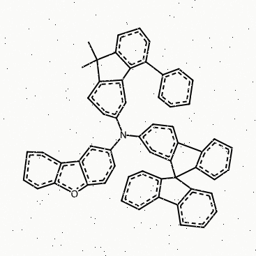 CC1(C)c2ccc(N(c3ccc4c(c3)C3(c5ccccc5-c5ccccc53)c3ccccc3-4)c3ccc4oc5ccccc5c4c3)cc2-c2c(-c3ccccc3)cccc21